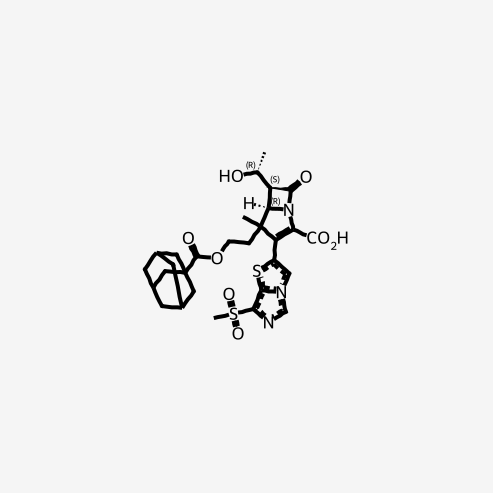 C[C@@H](O)[C@H]1C(=O)N2C(C(=O)O)=C(c3cn4cnc(S(C)(=O)=O)c4s3)C(C)(CCOC(=O)C34CC5CC(CC(C5)C3)C4)[C@@H]12